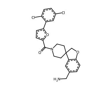 NCc1ccc2c(c1)C1(CCN(C(=O)c3ccc(-c4cc(Cl)ccc4Cl)o3)CC1)CO2